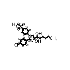 CCCCCC(O)C1(O)CN(c2ccc(S(C)(=O)=O)cc2)C(c2ccc(Cl)cc2)=N1